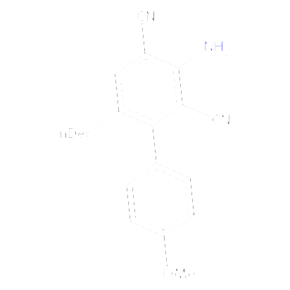 CCCCCCCCCCc1cc(C#N)c(N)c(C#N)c1-c1ccc(OC)cc1